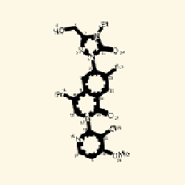 CCn1c(CO)nn(-c2cc3c(C(C)C)cn(-c4nccc(OC)c4Cl)c(=O)c3cc2F)c1=O